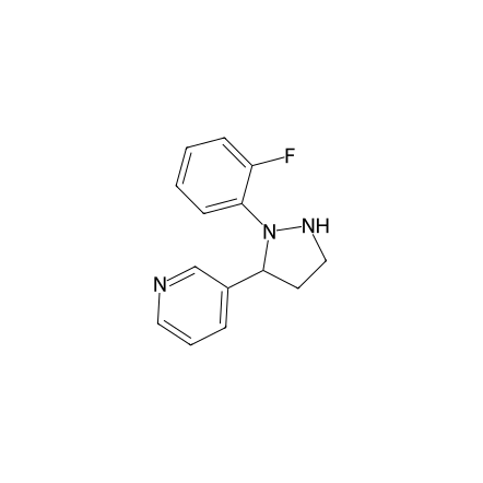 Fc1ccccc1N1NCCC1c1cccnc1